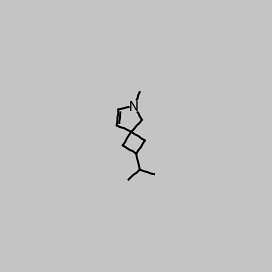 CC(C)C1CC2(C=CN(C)C2)C1